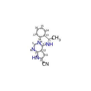 CC(Nc1ncnc2[nH]c(C#N)cc12)c1ccccc1